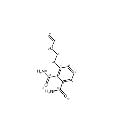 C=COCCc1cccc(C(N)=O)c1C(N)=O